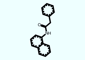 O=C(Cc1ccccc1)Nc1cccc2ccccc12